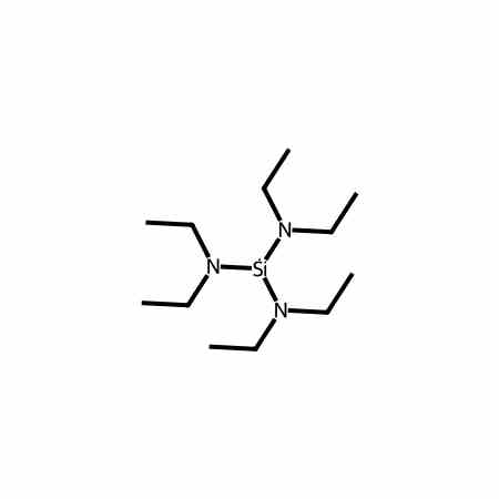 CCN(CC)[Si](N(CC)CC)N(CC)CC